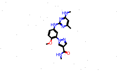 CNC(=O)c1cnn(-c2cc(Nc3nc(C)cc(NC)n3)ccc2OC)c1